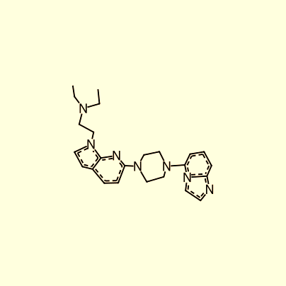 CCN(CC)CCn1ccc2ccc(N3CCN(c4cccc5nccn45)CC3)nc21